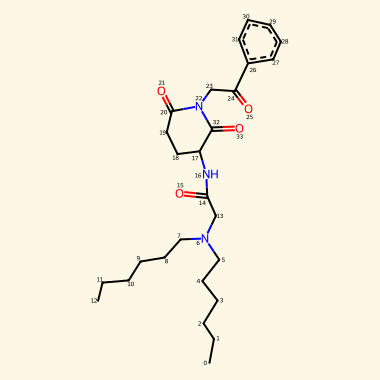 CCCCCCN(CCCCCC)CC(=O)NC1CCC(=O)N(CC(=O)c2ccccc2)C1=O